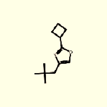 CC(C)(C)Cc1coc(C2CCC2)n1